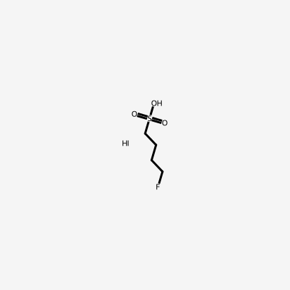 I.O=S(=O)(O)CCCCF